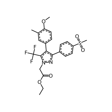 CCOC(=O)Cn1nc(-c2ccc(S(C)(=O)=O)cc2)c(-c2ccc(OC)c(C)c2)c1C(F)(F)F